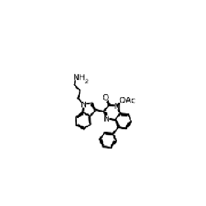 CC(=O)On1c(=O)c(-c2cn(CCCN)c3ccccc23)nc2c(-c3ccccc3)cccc21